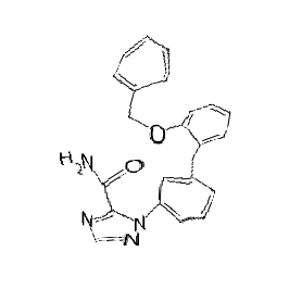 NC(=O)c1ncnn1-c1cccc(-c2ccccc2OCc2ccccc2)c1